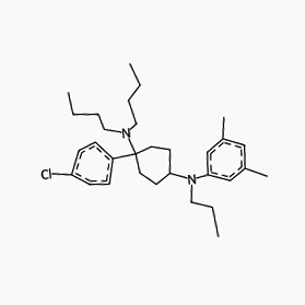 CCCCN(CCCC)C1(c2ccc(Cl)cc2)CCC(N(CCC)c2cc(C)cc(C)c2)CC1